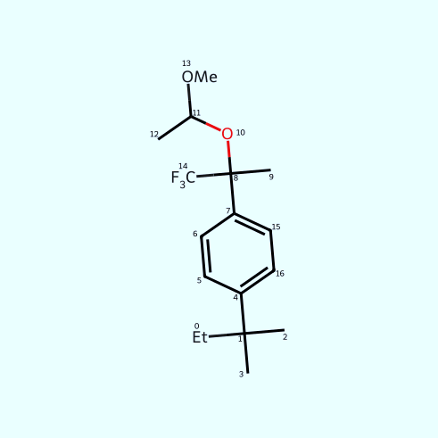 CCC(C)(C)c1ccc(C(C)(OC(C)OC)C(F)(F)F)cc1